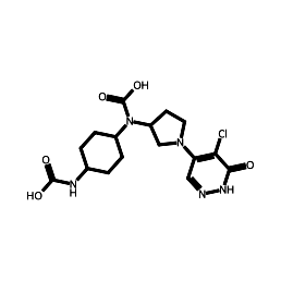 O=C(O)NC1CCC(N(C(=O)O)C2CCN(c3cn[nH]c(=O)c3Cl)C2)CC1